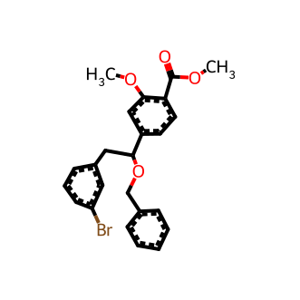 COC(=O)c1ccc(C(Cc2cccc(Br)c2)OCc2ccccc2)cc1OC